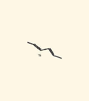 CC=CC=CC.[Ti]